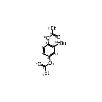 CCC(=O)Oc1ccc(OC(=O)CC)c(C(C)(C)C)c1